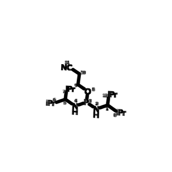 CC(C)C(NP(NC(C(C)C)C(C)C)OCCC#N)C(C)C